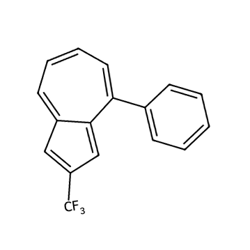 FC(F)(F)c1cc2ccccc(-c3ccccc3)c-2c1